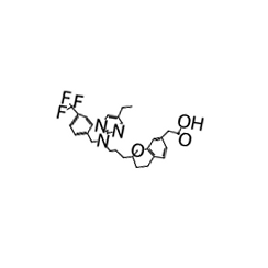 CCc1cnc(N(CCCC2CCc3ccc(CC(=O)O)cc3O2)Cc2ccc(C(F)(F)F)cc2)nc1